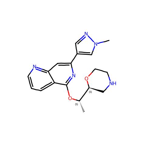 C[C@H](Oc1nc(-c2cnn(C)c2)cc2ncccc12)[C@@H]1CNCCO1